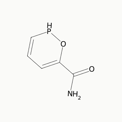 NC(=O)C1=CC=CPO1